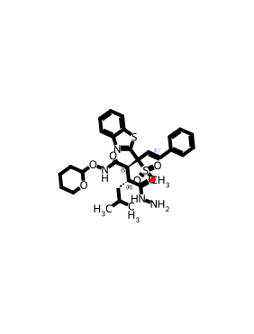 CC(C)C[C@@H](C(=O)NN)[C@@H](C(=O)NOC1CCCCO1)C(/C=C/c1ccccc1)(c1nc2ccccc2s1)S(C)(=O)=O